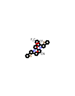 N#Cc1ccc(-c2cc(-c3cc(C(F)(F)F)cc(C(F)(F)F)c3)ccc2-n2c3ccccc3c3c4sc5ccccc5c4ccc32)c(-n2c3ccccc3c3c4sc5ccccc5c4ccc32)c1